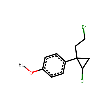 CCOc1ccc(C2(CCBr)CC2Cl)cc1